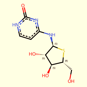 O=c1nc(N[C@H]2S[C@H](CO)[C@@H](O)[C@@H]2O)cc[nH]1